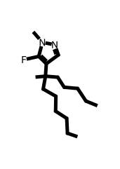 CCCCCCC(C)(CCCCC)c1cnn(C)c1F